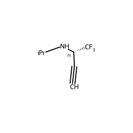 C#C[C@H](NC(C)C)C(F)(F)F